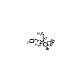 CCOC(=O)c1c(CSCc2ccc(F)cc2)n(C)c2cc(Br)c(O)c(Cn3cncn3)c12